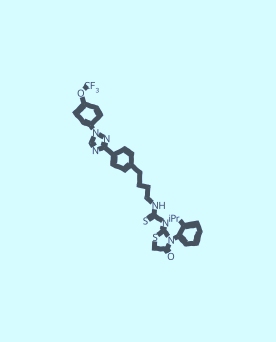 CC(C)c1ccccc1N1C(=O)CS/C1=N\C(=S)NCCCCc1ccc(-c2ncn(-c3ccc(OC(F)(F)F)cc3)n2)cc1